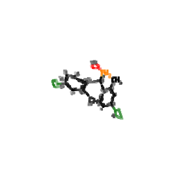 Cc1cc(Cl)ccc1C([PH2]=O)c1ccc(Cl)cc1C